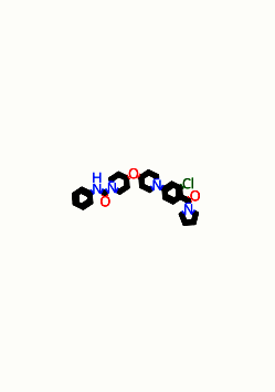 O=C(Nc1ccccc1)N1CCC(OC2CCN(c3ccc(C(=O)N4CCCC4)c(Cl)c3)CC2)CC1